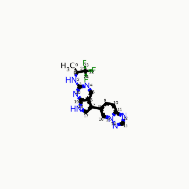 C[C@H](Nc1ncc2c(-c3ccc4ncnn4c3)c[nH]c2n1)C(F)(F)F